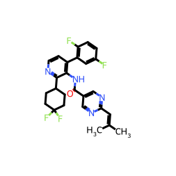 CC(C)=Cc1ncc(C(=O)Nc2c(-c3cc(F)ccc3F)ccnc2C2CCC(F)(F)CC2)cn1